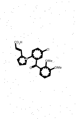 COc1cccc(C(=O)c2cc(Cl)ccc2-n2cccc2C=CC(=O)O)c1OC